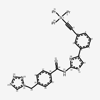 CC(C)[Si](C#Cc1cccc(-c2csc(NC(=O)c3ccc(Cn4cnnn4)cc3)n2)c1)(C(C)C)C(C)C